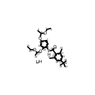 CCOC(C)Oc1ccc(PC(=O)c2c(C)cc(C(C)(C)C)cc2C)c(OC(C)OCC)c1.[LiH]